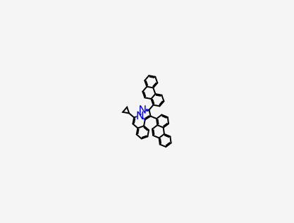 c1ccc2c(c1)ccc1c(-c3nn4c(C5CC5)cc5ccccc5c4c3-c3cccc4c3ccc3ccccc34)cccc12